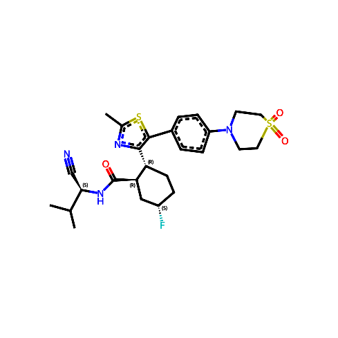 Cc1nc([C@@H]2CC[C@H](F)C[C@H]2C(=O)N[C@H](C#N)C(C)C)c(-c2ccc(N3CCS(=O)(=O)CC3)cc2)s1